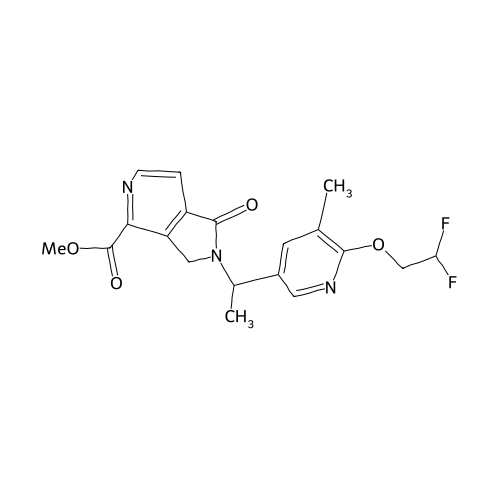 COC(=O)c1nccc2c1CN(C(C)c1cnc(OCC(F)F)c(C)c1)C2=O